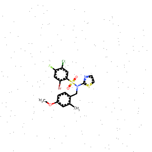 COc1ccc(CN(c2nccs2)S(=O)(=O)c2cc(Cl)c(F)cc2Br)c(C)c1